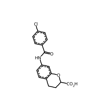 O=C(Nc1ccc2c(c1)OC(C(=O)O)CC2)c1ccc(Cl)cc1